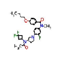 CCCCOc1ccc(C(=O)N(C)c2ccc(N3CCC(N(C(C)=O)C4CC(F)(F)C4)C3)c(F)c2)cc1